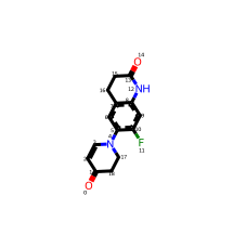 O=C1C=CN(c2cc3c(cc2F)NC(=O)CC3)CC1